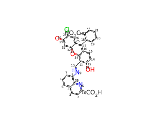 O=C(O)c1ccc2cccc(/N=C/c3c(O)ccc4c(-c5ccccc5C(=O)O)c5cc(Cl)c(=O)cc-5oc34)c2n1